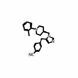 Cc1ccccc1N1CCC(Cn2cncc2Cc2ccc(C#N)cc2)CC1